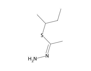 CCC(C)S/C(C)=N\N